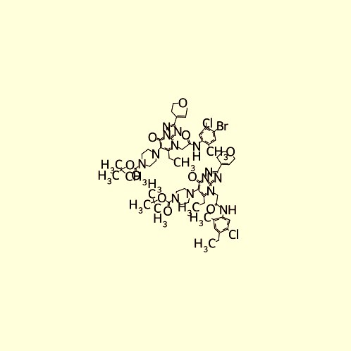 CCc1c(N2CCN(C(=O)OC(C)(C)C)CC2)c(=O)n2nc(C3=CCOCC3)nc2n1CC(=O)Nc1cc(Cl)c(Br)cc1C.CCc1cc(C)c(NC(=O)Cn2c(CC)c(N3CCN(C(=O)OC(C)(C)C)CC3)c(=O)n3nc(C4=CCOCC4)nc23)cc1Cl